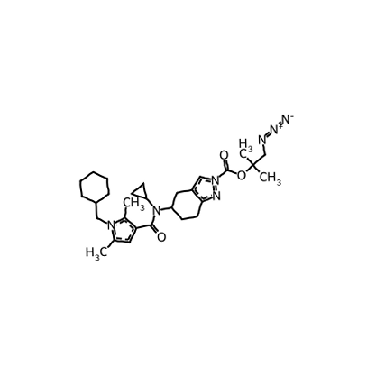 Cc1cc(C(=O)N(C2CC2)C2CCc3nn(C(=O)OC(C)(C)CN=[N+]=[N-])cc3C2)c(C)n1CC1CCCCC1